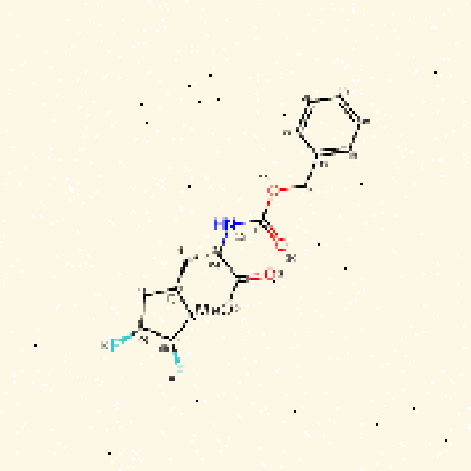 COC(=O)[C@H](C[C@H]1C[C@@H](F)[C@@H](F)C1)NC(=O)OCc1ccccc1